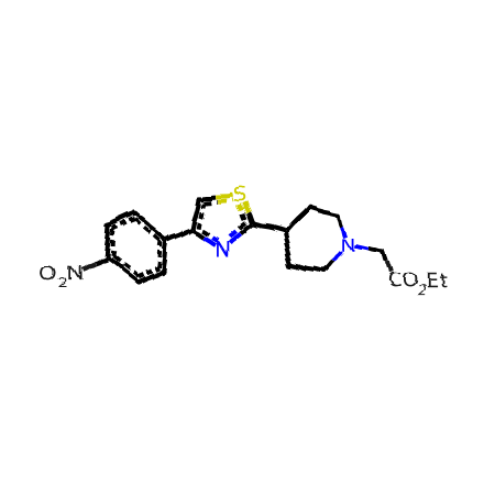 CCOC(=O)CN1CCC(c2nc(-c3ccc([N+](=O)[O-])cc3)cs2)CC1